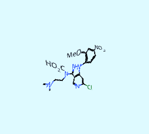 COc1cc([N+](=O)[O-])ccc1-n1nc(N(CCN(C)C)C(=O)O)c2cnc(Cl)cc21